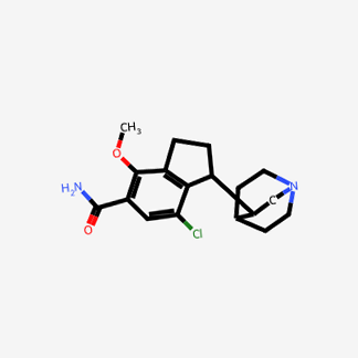 COc1c(C(N)=O)cc(Cl)c2c1CCC2C1CN2CCC1CC2